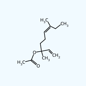 C=CC(C)(CC/C=C(/C)CC)OC(C)=O